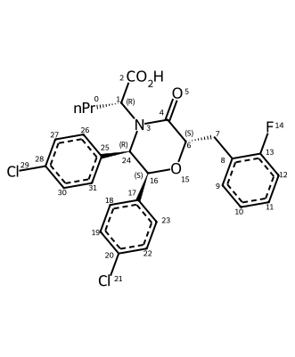 CCC[C@H](C(=O)O)N1C(=O)[C@H](Cc2ccccc2F)O[C@@H](c2ccc(Cl)cc2)[C@H]1c1ccc(Cl)cc1